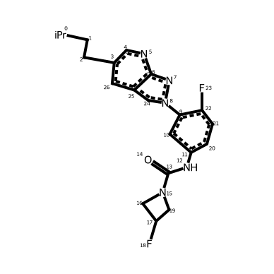 CC(C)CCc1cnc2nn(-c3cc(NC(=O)N4CC(F)C4)ccc3F)cc2c1